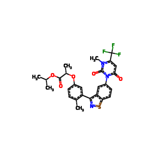 Cc1ccc(OC(C)C(=O)OC(C)C)cc1-c1nsc2ccc(-n3c(=O)cc(C(F)(F)F)n(C)c3=O)cc12